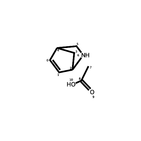 C1=CC2CC1CN2.CC(=O)O